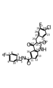 O=C(NCc1ccc(F)cc1)c1ccc2c(c1)C(=O)C(Cc1ccc(Cl)c(F)c1)[S+]([O-])N2